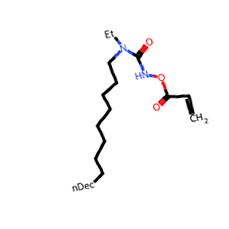 C=CC(=O)ONC(=O)N(CC)CCCCCCCCCCCCCCCCCC